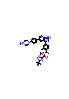 Cc1cc(-c2n[nH]c3ncc(-c4ccc(N5CCNCC5)cc4)cc23)ccc1[C@@H](C)NC(=O)c1nc(C(C)(C)C)no1